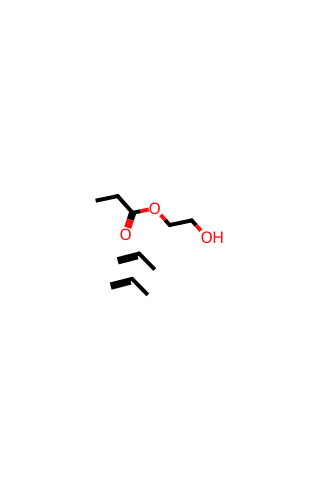 C=CC.C=CC.CCC(=O)OCCO